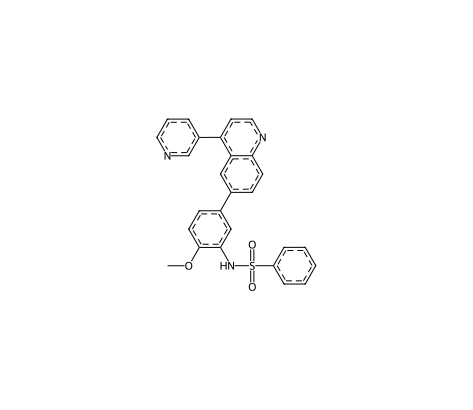 COc1ccc(-c2ccc3nccc(-c4cccnc4)c3c2)cc1NS(=O)(=O)c1ccccc1